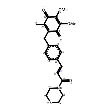 COC1=C(OC)C(=O)C(Cc2ccc(/C=C/C(=O)N3CCSCC3)cc2)=C(C)C1=O